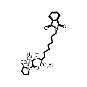 CCOC(=O)[C@@H](CCCCCCCN1C(=O)c2ccccc2C1=O)N[C@@H](C)C(=O)N1CCC[C@H]1C(=O)O